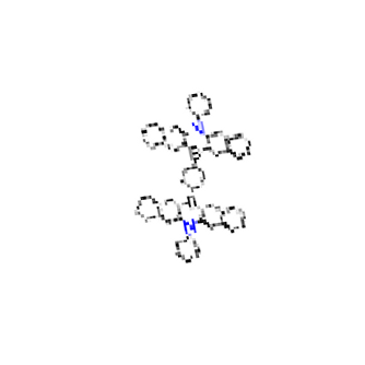 c1ccc(N2c3cc4ccccc4cc3B(c3ccc(B4c5cc6ccccc6cc5N(c5ccccc5)c5cc6ccccc6cc54)cc3)c3cc4ccccc4cc32)cc1